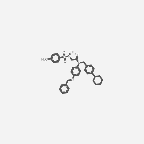 Cc1ccc(S(=O)(=O)N(C)CC(=O)N(Cc2ccc(C3CCCCC3)cc2)c2ccc(OCc3ccccc3)cc2)cc1